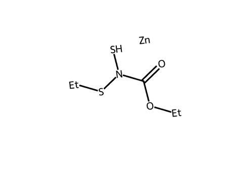 CCOC(=O)N(S)SCC.[Zn]